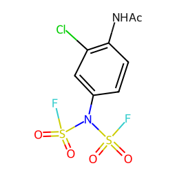 CC(=O)Nc1ccc(N(S(=O)(=O)F)S(=O)(=O)F)cc1Cl